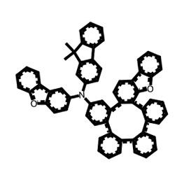 CC1(C)c2ccccc2-c2ccc(N(c3ccc4oc5ccccc5c4c3)c3ccc4c5ccccc5c5ccccc5c5ccccc5c5c(ccc6c7ccccc7oc65)c4c3)cc21